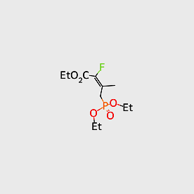 CCOC(=O)C(F)=C(C)CP(=O)(OCC)OCC